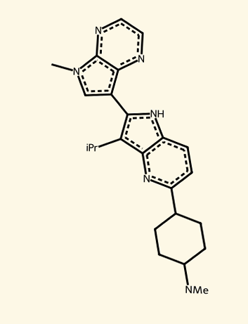 CNC1CCC(c2ccc3[nH]c(-c4cn(C)c5nccnc45)c(C(C)C)c3n2)CC1